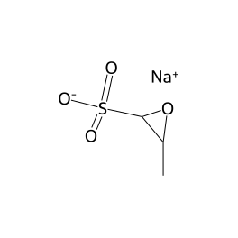 CC1OC1S(=O)(=O)[O-].[Na+]